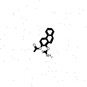 CC(=O)Oc1ccc2c(ccc3ccccc32)c1OC(N)=S